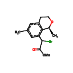 COC(=O)C(Br)c1cc(C)cc2c1[C@H](C)OCC2